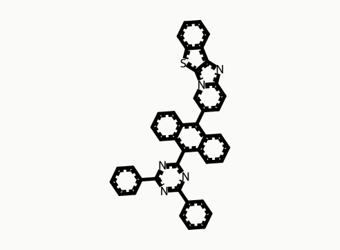 c1ccc(-c2nc(-c3ccccc3)nc(-c3c4ccccc4c(-c4ccc5nc6c7ccccc7sc6n5c4)c4ccccc34)n2)cc1